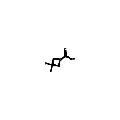 CC(C)C(=O)N1CC(C)(F)C1